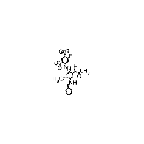 COc1cc(/N=N/c2cc(F)c([N+](=O)[O-])cc2[N+](=O)[O-])c(NC(C)=O)cc1NCc1ccccc1